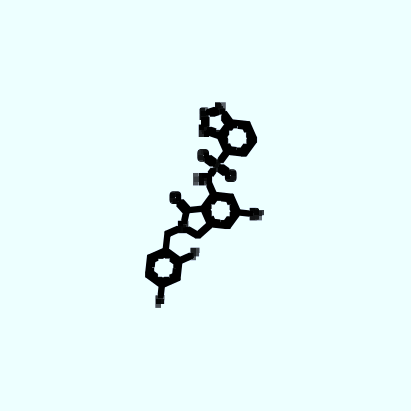 O=C1c2c(cc(Br)cc2NS(=O)(=O)c2cccc3nsnc23)CN1Cc1ccc(F)cc1F